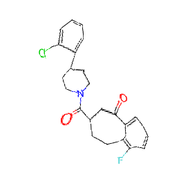 O=C1CC(C(=O)N2CCC(c3ccccc3Cl)CC2)CCc2c(F)cccc21